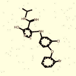 CC(C)NC(=N)c1c(O)nsc1Nc1ccc(Oc2ccccc2Br)c(Cl)c1